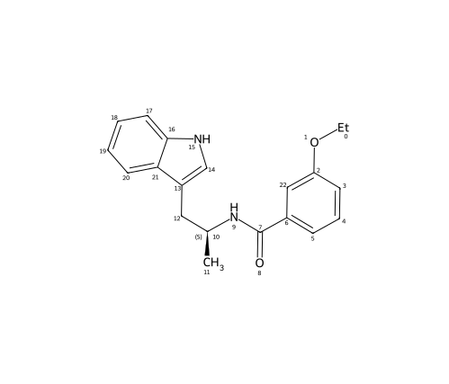 CCOc1cccc(C(=O)N[C@@H](C)Cc2c[nH]c3ccccc23)c1